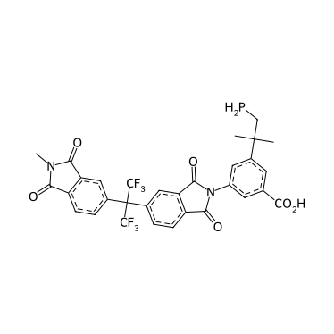 CN1C(=O)c2ccc(C(c3ccc4c(c3)C(=O)N(c3cc(C(=O)O)cc(C(C)(C)CP)c3)C4=O)(C(F)(F)F)C(F)(F)F)cc2C1=O